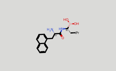 CC(C)C[C@H](NC(=O)[C@@H](N)Cc1cccc2ccccc12)B(O)O